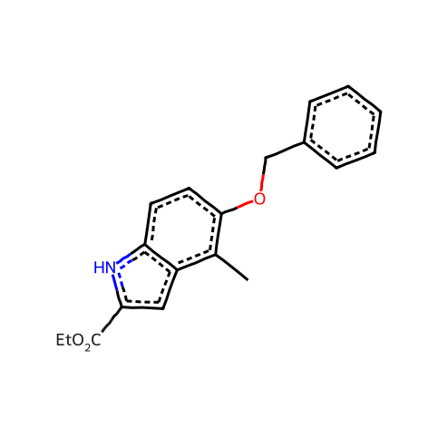 CCOC(=O)c1cc2c(C)c(OCc3ccccc3)ccc2[nH]1